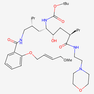 COCC=CCOc1ccccc1C(=O)NC[C@@H](C[C@H](NC(=O)OC(C)(C)C)[C@@H](O)C[C@H](C(=O)NCCN1CCOCC1)C(C)C)C(C)C